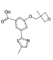 Cc1cnc(-c2cc(OCC3(C)COC3)cc(C(=O)O)c2)s1